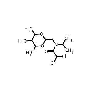 CC1OC(CN(C(=O)C(Cl)Cl)C(C)C)OC(C)C1C